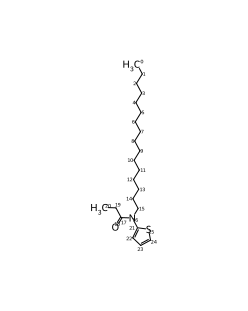 CCCCCCCCCCCCCCCCN(C(=O)CC)c1cccs1